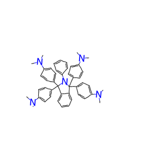 CN(C)c1ccc(C2(c3ccc(N(C)C)cc3)c3ccccc3C(c3ccc(N(C)C)cc3)(c3ccc(N(C)C)cc3)N2c2ccccc2)cc1